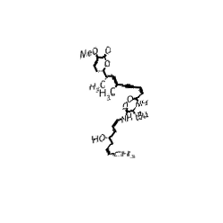 C/C=C\C[C@H](O)C/C=C\NC(=O)[C@@H](NC(=O)/C=C\C#C/C(C)=C/[C@H](C)[C@@H]1CC=C(OC)C(=O)O1)C(C)(C)C